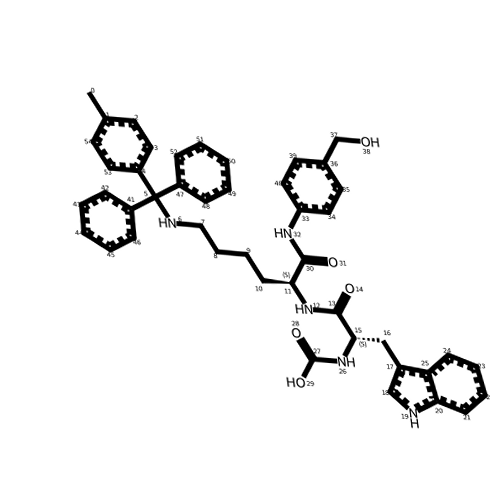 Cc1ccc(C(NCCCC[C@H](NC(=O)[C@H](Cc2c[nH]c3ccccc23)NC(=O)O)C(=O)Nc2ccc(CO)cc2)(c2ccccc2)c2ccccc2)cc1